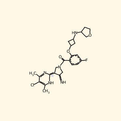 CC1=N/C(=C2\CN(C(=O)c3ccc(F)cc3OC3CC(NC4CCOC4)C3)CC2=N)NC(C)=C1Cl